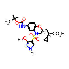 CCOc1nn(CC)cc1S(=O)(=O)N1C[C@H](C[C@@H](C(=O)O)C2CC2)Oc2ccc(NC(=O)OC(C)(C)C(F)(F)F)cc21